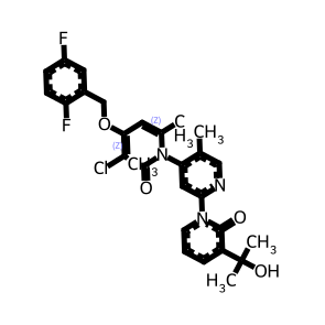 C/C(=C/C(OCc1cc(F)ccc1F)=C(\C)Cl)N(C=O)c1cc(-n2cccc(C(C)(C)O)c2=O)ncc1C